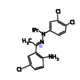 C/C(=N\N(c1ccc(Cl)c(Cl)c1)C(C)C)c1cc(Cl)ccc1N